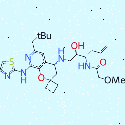 C=CC[C@H](NC(=O)COC)[C@H](O)CN[C@H]1CC2(CCC2)Oc2c1cc(CC(C)(C)C)nc2Nc1nccs1